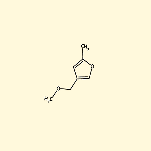 COCc1coc(C)c1